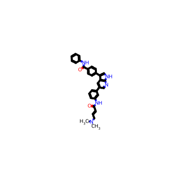 CN(C)CC=CC(=O)Nc1cccc(-c2cnc3[nH]cc(-c4ccc(C(=O)Nc5ccccc5)cc4)c3c2)c1